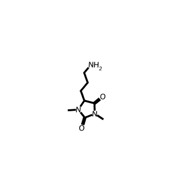 CN1C(=O)C(CCCN)N(C)C1=O